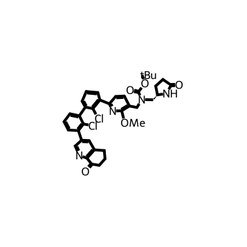 COc1nc(-c2cccc(-c3cccc(-c4cnc5c(c4)CCCC5=O)c3Cl)c2Cl)ccc1CN(C[C@@H]1CCC(=O)N1)C(=O)OC(C)(C)C